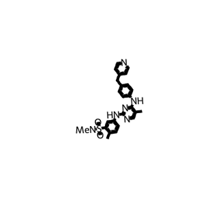 CNS(=O)(=O)c1cc(Nc2ncc(C)c(Nc3ccc(Cc4ccncc4)cc3)n2)ccc1C